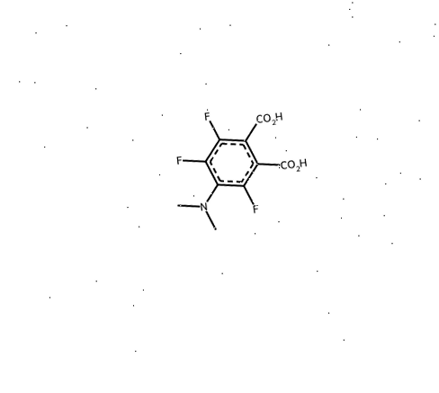 CN(C)c1c(F)c(F)c(C(=O)O)c(C(=O)O)c1F